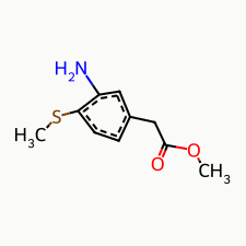 COC(=O)Cc1ccc(SC)c(N)c1